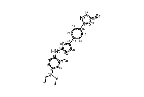 CCN(CC)c1ccc(Nc2nc(-c3ccc(-c4ncc(Br)s4)cc3)cs2)c(C)c1